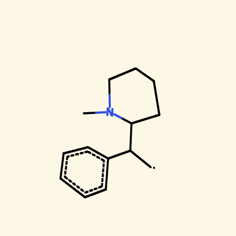 [CH2]C(c1ccccc1)C1CCCCN1C